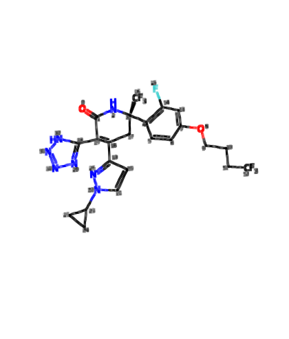 O=C1N[C@@](c2ccc(OCCCC(F)(F)F)cc2F)(C(F)(F)F)CC(c2ccn(C3CC3)n2)=C1c1nnn[nH]1